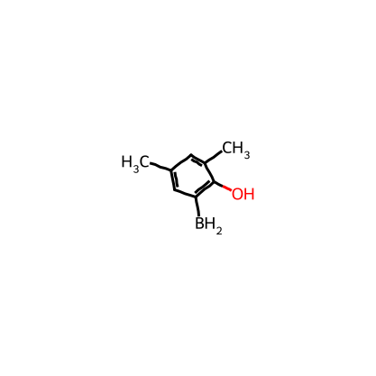 Bc1cc(C)cc(C)c1O